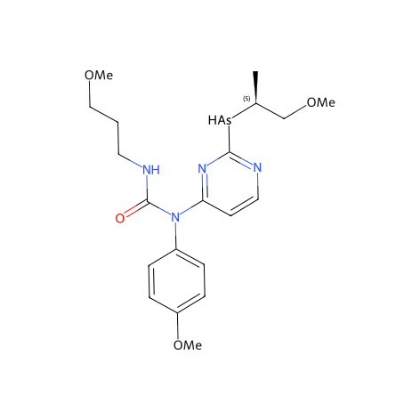 COCCCNC(=O)N(c1ccc(OC)cc1)c1ccnc([AsH][C@@H](C)COC)n1